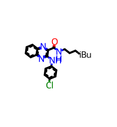 CCC(C)CCCNC(=O)c1nc2ccccc2nc1Nc1ccc(Cl)cc1